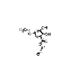 CCOc1nc(O)c(O)c(C(=O)OC=C=O)n1